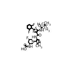 Cn1ncc(NC(=O)c2nc(-c3c(F)cccc3F)sc2NC(=O)OC(C)(C)C)c1N1C[C@H](F)C[C@H](NC(=O)O)C1